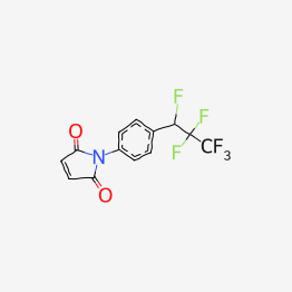 O=C1C=CC(=O)N1c1ccc(C(F)C(F)(F)C(F)(F)F)cc1